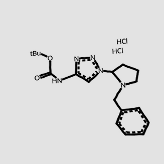 CC(C)(C)OC(=O)Nc1cn(C2CCCN2Cc2ccccc2)nn1.Cl.Cl